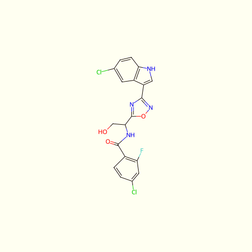 O=C(NC(CO)c1nc(-c2c[nH]c3ccc(Cl)cc23)no1)c1ccc(Cl)cc1F